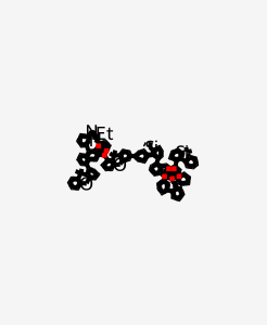 CCc1nc2cccc(-c3c4cccc(-c5cccc6c5C(C)(C)c5ccccc5O6)c4cc4c(-c5cccc6c5C(C)(C)c5ccc(-c7ccc8c(c7)[Si](C)(C)c7cccc(-c9cccc%10c(-c%11cccc%12c%11[Si](c%11ccccc%11)(c%11ccccc%11)c%11ccccc%11-%12)c%11cccc(-c%12cccc%13c%12-c%12ccccc%12[Si]%13(C)C)c%11cc9%10)c7-8)cc5O6)cccc34)c2n1-c1ccccc1